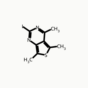 Cc1sc(C)c2c(C)nc(I)nc12